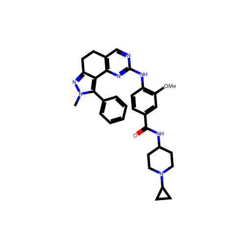 COc1cc(C(=O)NC2CCN(C3CC3)CC2)ccc1Nc1ncc2c(n1)-c1c(nn(C)c1-c1ccccc1)CC2